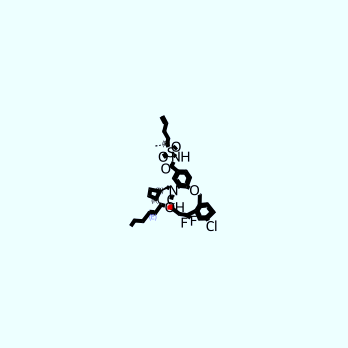 C=CCC[C@@H](C)S(=O)(=O)NC(=O)c1ccc2c(c1)N(C[C@@H]1CC[C@H]1C(O)/C=C/CCC)CCCC(F)(F)c1cc(Cl)ccc1CO2